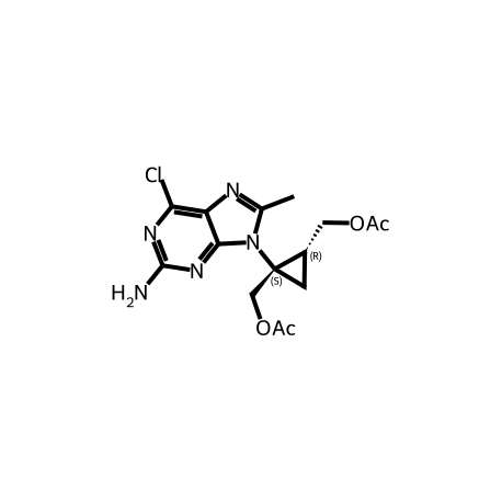 CC(=O)OC[C@@H]1C[C@]1(COC(C)=O)n1c(C)nc2c(Cl)nc(N)nc21